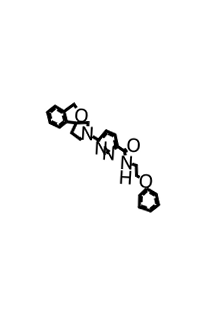 O=C(NCCOc1ccccc1)c1ccc(N2CCC3(C2)OCc2ccccc23)nn1